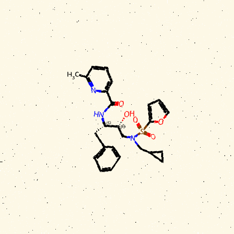 Cc1cccc(C(=O)N[C@@H](Cc2ccccc2)[C@H](O)CN(CC2CC2)S(=O)(=O)c2ccco2)n1